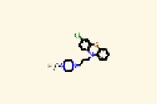 CN1CCN(CCCN2c3ccccc3Sc3cc(Cl)ccc32)CC1